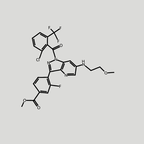 COCCNc1cnc2c(-c3ccc(C(=O)OC)cc3F)nn(C(=O)c3c(Cl)cccc3C(F)(F)F)c2c1